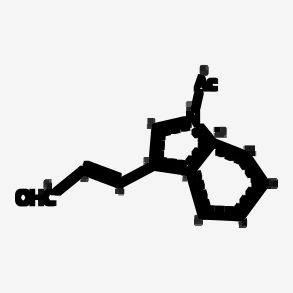 CC(=O)n1cc(C=CC=O)c2ccccc21